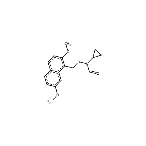 COc1ccc2ccc(OC)c(CON(C=O)C3CC3)c2c1